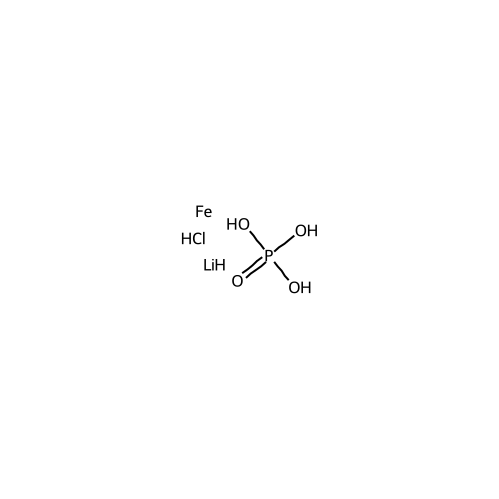 Cl.O=P(O)(O)O.[Fe].[LiH]